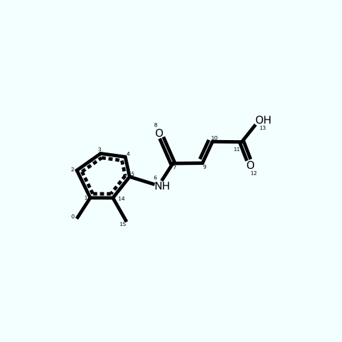 Cc1cccc(NC(=O)C=CC(=O)O)c1C